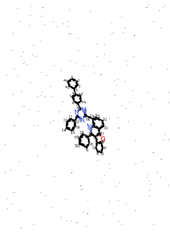 c1ccc(-c2ccc(-c3nc(-c4ccccc4)nc(-c4cccc5c4nc(-c4ccccc4)c4c6ccccc6oc54)n3)cc2)cc1